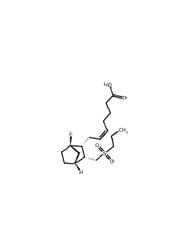 CCCS(=O)(=O)C[C@@H]1[C@@H]2CC[C@@H](C2)[C@@H]1C/C=C\CCCC(=O)O